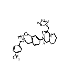 CCCN(Cc1ccc(C(F)(F)F)cc1)Cc1ccc(NCC2CCCCN2C(=O)Cn2cnnn2)cc1Cl